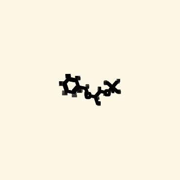 CC(COC(C)(C)C)OCc1ccccc1